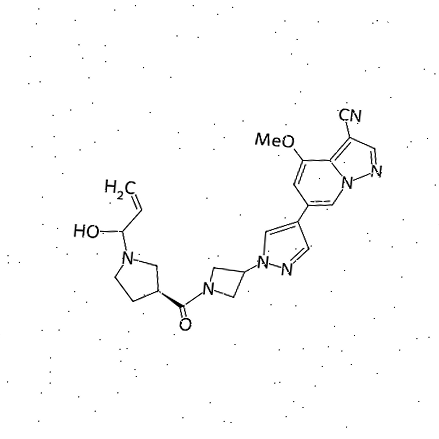 C=CC(O)N1CC[C@H](C(=O)N2CC(n3cc(-c4cc(OC)c5c(C#N)cnn5c4)cn3)C2)C1